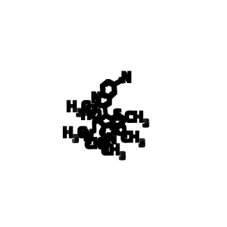 COc1cc(C(O)(CCN(C)C)C(c2ccc(C)s2)c2cc3cc(C#N)ccc3nc2OC)cc(OC)n1